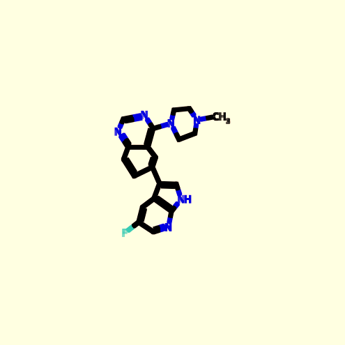 CN1CCN(c2ncnc3ccc(-c4c[nH]c5ncc(F)cc45)cc23)CC1